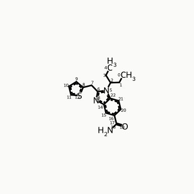 CCC(CC)n1c(Cc2cccs2)nc2cc(C(N)=O)ccc21